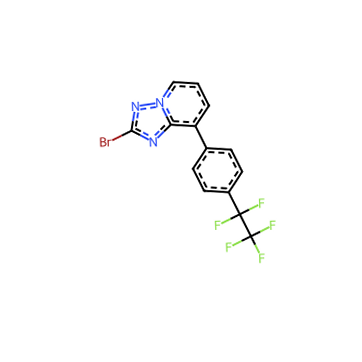 FC(F)(F)C(F)(F)c1ccc(-c2cccn3nc(Br)nc23)cc1